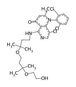 Cc1cc(=O)c2c(NCCC(C)(C)OCCC(C)(C)OCCO)ncc(Cl)c2n1-c1c(Cl)cccc1Cl